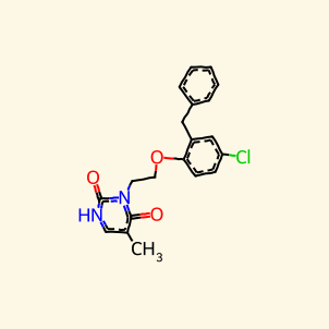 Cc1c[nH]c(=O)n(CCOc2ccc(Cl)cc2Cc2ccccc2)c1=O